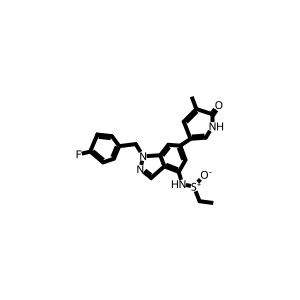 CC[S+]([O-])Nc1cc(-c2c[nH]c(=O)c(C)c2)cc2c1cnn2Cc1ccc(F)cc1